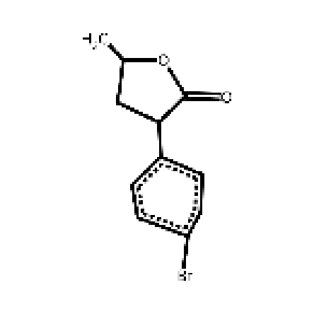 CC1CC(c2ccc(Br)cc2)C(=O)O1